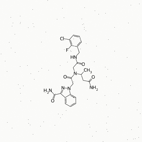 CC(CC(N)=O)N(CC(=O)NCc1cccc(Cl)c1F)C(=O)Cn1nc(C(N)=O)c2ccccc21